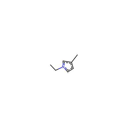 CCn1[c]cc(C)c1